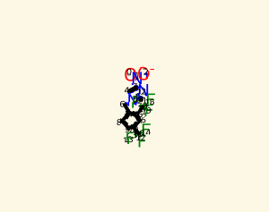 O=[N+]([O-])c1cn(Cc2ccc(C(F)(F)F)cc2C(F)(F)F)cn1